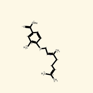 COC(=O)c1ccc(OC/C=C(\C)CCC=C(C)C)c(C)c1